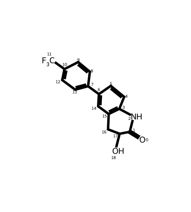 O=C1Nc2ccc(-c3ccc(C(F)(F)F)cc3)cc2CC1O